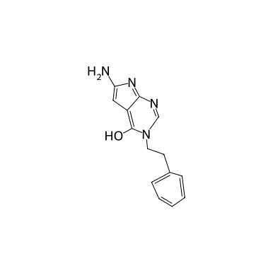 Nc1cc2c(O)n(CCc3ccccc3)cnc-2n1